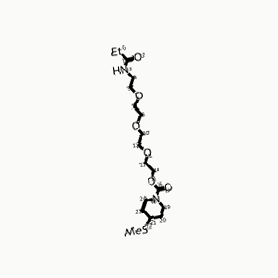 CCC(=O)NCCOCCOCCOCCOC(=O)N1CCC(SC)CC1